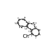 Clc1cccc2sc3cccnc3c12